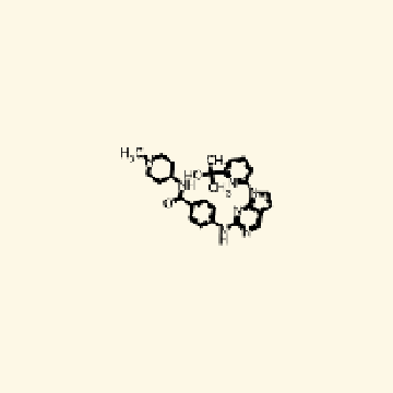 CN1CCC(NC(=O)c2ccc(Nc3ncc4ccn(-c5cccc(C(C)(C)O)n5)c4n3)cc2)CC1